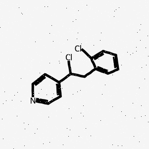 Clc1ccccc1CC(Cl)c1ccncc1